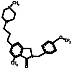 Cc1cc(CCCN2CCN(C)CC2)cc2c1C(=O)N(Cc1ccc(OC(F)(F)F)cc1)C2